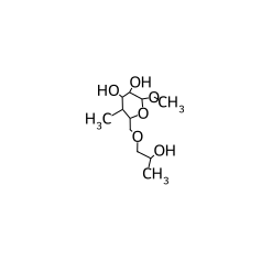 COC1OC(COCC(C)O)C(C)C(O)C1O